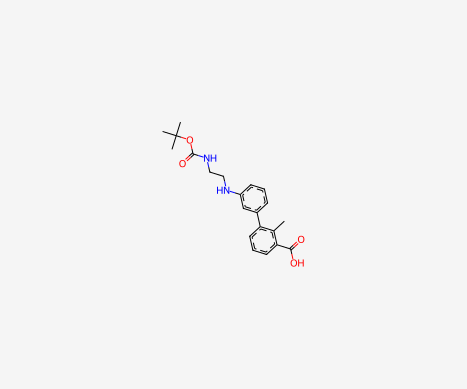 Cc1c(C(=O)O)cccc1-c1cccc(NCCNC(=O)OC(C)(C)C)c1